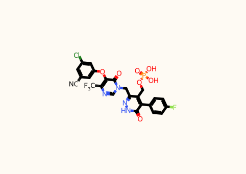 N#Cc1cc(Cl)cc(Oc2c(C(F)(F)F)ncn(Cc3n[nH]c(=O)c(-c4ccc(F)cc4)c3COP(=O)(O)O)c2=O)c1